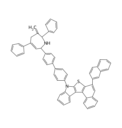 C=C1CC(c2ccccc2)=CC(c2ccc(-c3ccc(-n4c5ccccc5c5c6c(sc54)c(-c4ccc5ccccc5c4)cc4ccccc46)cc3)cc2)NC1c1ccccc1